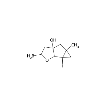 BC1CC2(O)CC3(C)CC3(I)C2O1